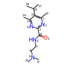 Cc1nc(C(=O)NCCN(C)C)nc(C)c1C(C)C